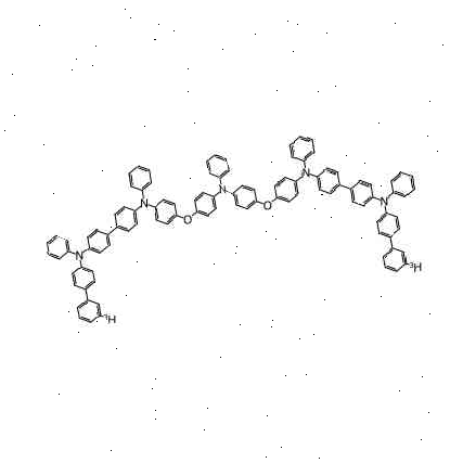 [3H]c1cccc(-c2ccc(N(c3ccccc3)c3ccc(-c4ccc(N(c5ccccc5)c5ccc(Oc6ccc(N(c7ccccc7)c7ccc(Oc8ccc(N(c9ccccc9)c9ccc(-c%10ccc(N(c%11ccccc%11)c%11ccc(-c%12cccc([3H])c%12)cc%11)cc%10)cc9)cc8)cc7)cc6)cc5)cc4)cc3)cc2)c1